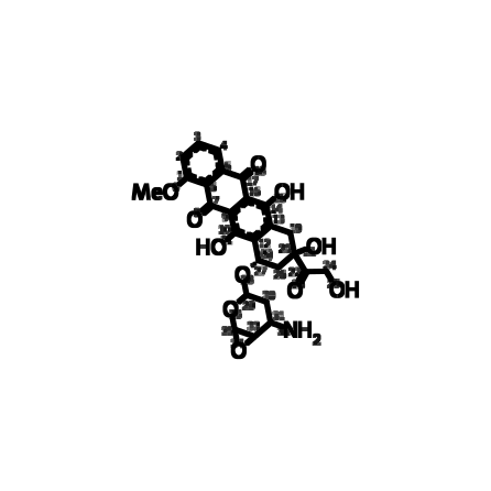 COc1cccc2c1C(=O)c1c(O)c3c(c(O)c1C2=O)CC(O)(C(=O)CO)C[C@@H]3OC1CC(N)C2OC2O1